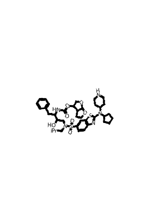 CC(C)CN(CC(O)C(Cc1ccccc1)NC(=O)OC1COC2OCCC12)S(=O)(=O)c1ccc2nc(N(C3CCCC3)C3CCNCC3)sc2c1